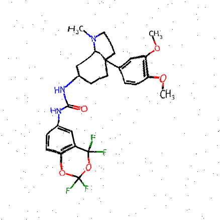 COc1ccc(C23CCC(NC(=O)Nc4ccc5c(c4)C(F)(F)OC(F)(F)O5)CC2N(C)CC3)cc1OC